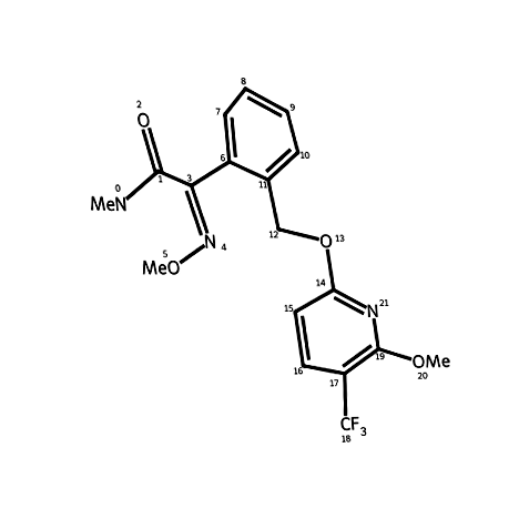 CNC(=O)C(=NOC)c1ccccc1COc1ccc(C(F)(F)F)c(OC)n1